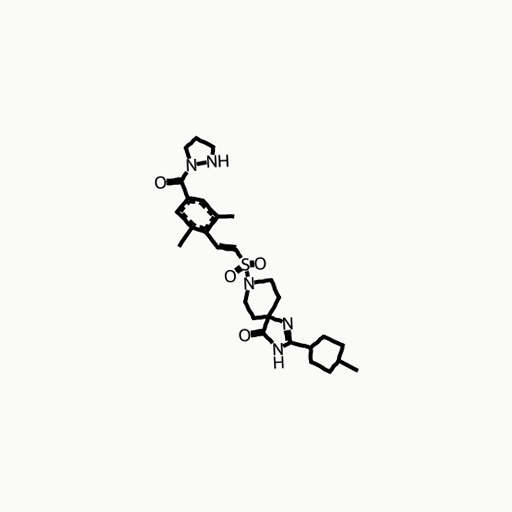 Cc1cc(C(=O)N2CCCN2)cc(C)c1C=CS(=O)(=O)N1CCC2(CC1)N=C(C1CCC(C)CC1)NC2=O